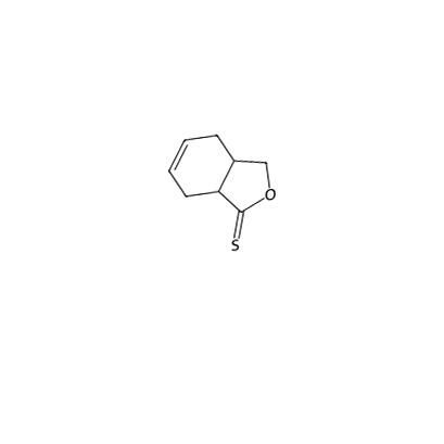 S=C1OCC2CC=CCC12